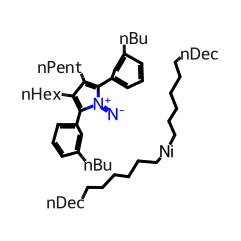 CCCCCCC1=C(c2cccc(CCCC)c2)[N+](=[N-])C(c2cccc(CCCC)c2)=C1CCCCC.CCCCCCCCCCCCCCC[CH2][Ni][CH2]CCCCCCCCCCCCCCC